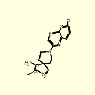 C[C@@H]1OCC2(CCN(c3cnc4nc(Cl)ccc4n3)CC2)[C@@H]1N